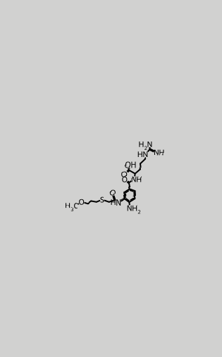 COCCCSCC(=O)Nc1cc(C(=O)NC(CCCNC(=N)N)C(=O)O)ccc1N